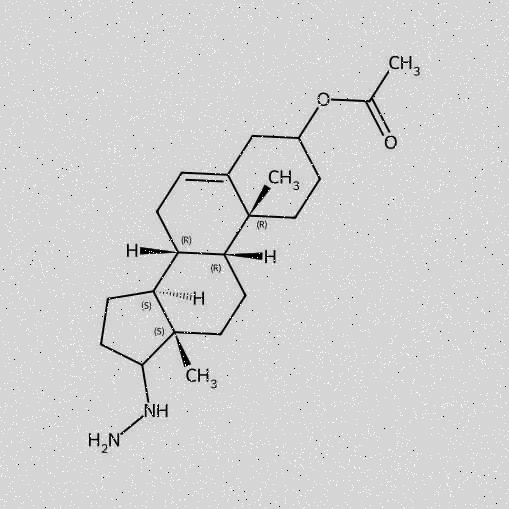 CC(=O)OC1CC[C@@]2(C)C(=CC[C@@H]3[C@H]2CC[C@]2(C)C(NN)CC[C@@H]32)C1